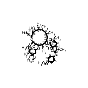 CC[C@H]1OC(=O)[C@H](C)[C@@H](O[C@H]2C[C@@](C)(OC)[C@@H](O)[C@H](C)O2)[C@H](C)[C@@H](O[C@@H]2O[C@H](C)C[C@H]3[C@H]2OC(=Nc2ccc(OC)cc2)N3C)[C@](C)(O)C[C@@H](C)CN(C)[C@H](C)[C@@H](O)[C@]1(C)O